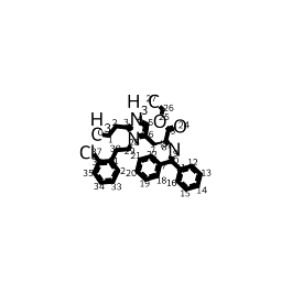 CCCc1ncc(C[C@H](N=C(c2ccccc2)c2ccccc2)C(=O)OCC)n1CCc1ccccc1Cl